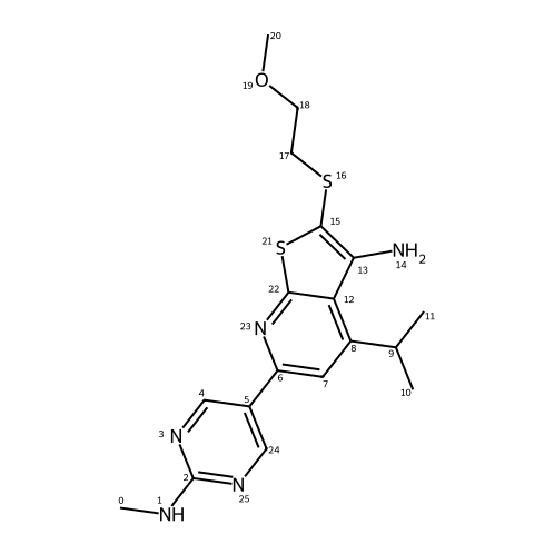 CNc1ncc(-c2cc(C(C)C)c3c(N)c(SCCOC)sc3n2)cn1